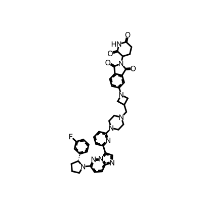 O=C1CCC(N2C(=O)c3ccc(N4CC(CN5CCN(c6cccc(-c7cnc8ccc(N9CCC[C@@H]9c9cccc(F)c9)nn78)n6)CC5)C4)cc3C2=O)C(=O)N1